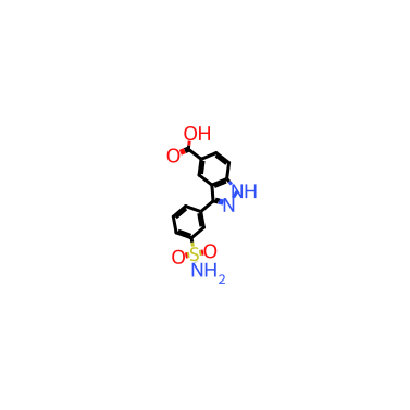 NS(=O)(=O)c1cccc(-c2n[nH]c3ccc(C(=O)O)cc23)c1